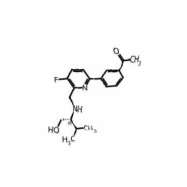 CC(=O)c1cccc(-c2ccc(F)c(CN[C@@H](CO)C(C)C)n2)c1